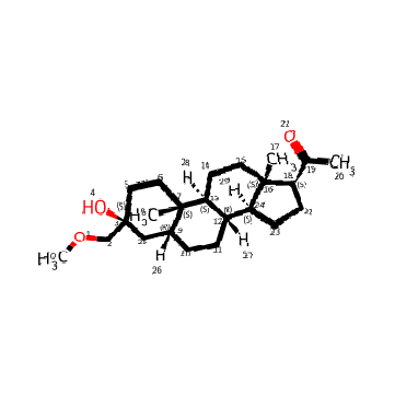 COC[C@]1(O)CC[C@@]2(C)[C@H](CC[C@@H]3[C@@H]2CC[C@]2(C)[C@@H](C(C)=O)CC[C@@H]32)C1